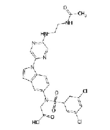 CC(=O)NCCNc1cnc(-n2ccc3cc(N(CC(=O)O)S(=O)(=O)C4C=C(Cl)C=C(Cl)C4)ccc32)cn1